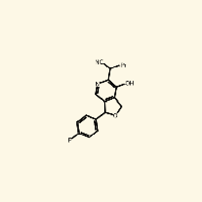 CC(C)C(C#N)c1ncc2c(c1O)COC2c1ccc(F)cc1